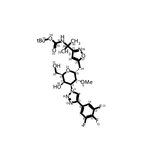 CO[C@@H]1[C@@H](n2cc(-c3cc(F)c(F)c(F)c3)nn2)[C@@H](O)[C@@H](CO)O[C@@H]1Cc1cc(C(C)(C)NC(=O)OC(C)(C)C)no1